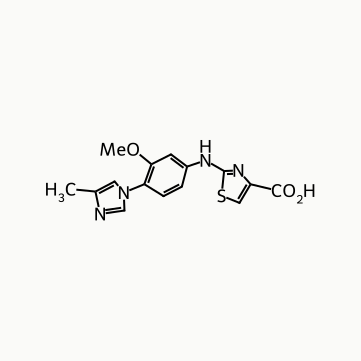 COc1cc(Nc2nc(C(=O)O)cs2)ccc1-n1cnc(C)c1